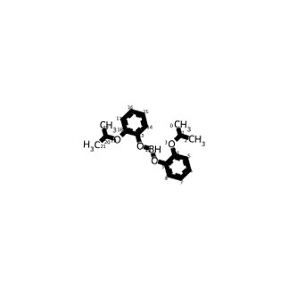 CC(C)Oc1ccccc1OBOc1ccccc1OC(C)C